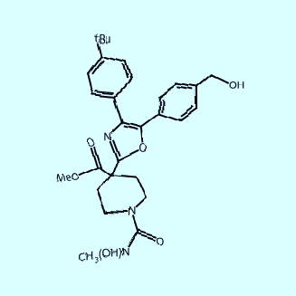 COC(=O)C1(c2nc(-c3ccc(C(C)(C)C)cc3)c(-c3ccc(CO)cc3)o2)CCN(C(=O)N(C)O)CC1